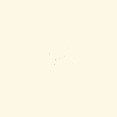 CCCC(O)C(CC)NC